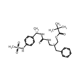 C[C@H](NC(=S)NC[C@@H](COC(=O)C(C)(C)C)Cc1ccccc1)c1ccc(NS(C)(=O)=O)cc1